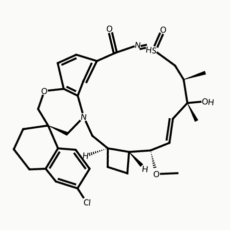 CO[C@H]1/C=C/[C@@](C)(O)[C@H](C)C/[SH](=O)=N\C(=O)c2ccc3c(c2)N(C[C@@H]2CC[C@H]21)C[C@@]1(CCCc2cc(Cl)ccc21)CO3